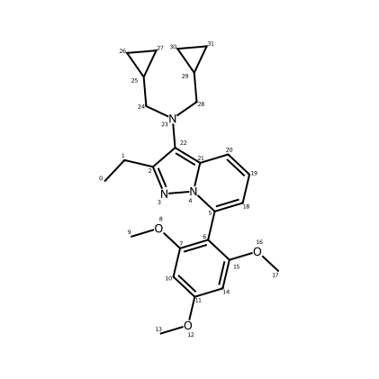 CCc1nn2c(-c3c(OC)cc(OC)cc3OC)cccc2c1N(CC1CC1)CC1CC1